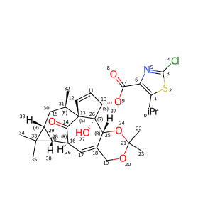 CC(C)c1sc(Cl)nc1C(=O)O[C@H]1C=C[C@]23C(=O)[C@@H](C=C4COC(C)(C)O[C@H]4[C@]12O)[C@H]1[C@@H](C[C@H]3C)C1(C)C